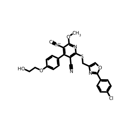 [C-]#[N+]c1c(OC)nc(SCc2coc(-c3ccc(Cl)cc3)n2)c(C#N)c1-c1ccc(OCCO)cc1